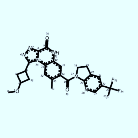 COC1CC(c2nnc3c(=O)[nH]c4cc(C(=O)N5CCc6cc(C(F)(F)F)cnc65)c(C)cc4n23)C1